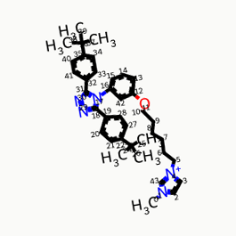 Cn1cc[n+](CCCCCCOc2cccc(-n3c(-c4ccc(C(C)(C)C)cc4)nnc3-c3ccc(C(C)(C)C)cc3)c2)c1